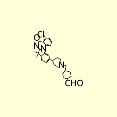 CC1(C)c2ccc(C3CCN(CC4CCC(C=O)CC4)CC3)cc2-n2c1nc(=O)c1c(Cl)cccc12